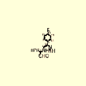 CCCC(C=O)N/C=C(\N=N)c1ccc(F)cc1